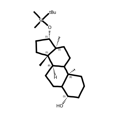 CC(C)(C)[Si](C)(C)O[C@H]1CC[C@@]2(C)[C@@H]3CCC4[C@@H](O)CCC[C@]4(C)C3CC[C@]12C